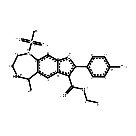 CCOC(=O)c1c(-c2ccc(F)cc2)oc2cc3c(cc12)C(C)NCCN3S(C)(=O)=O